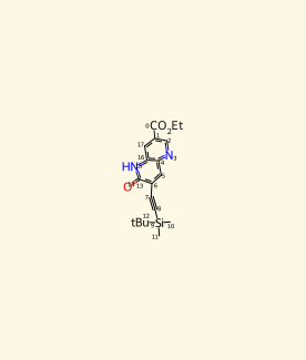 CCOC(=O)c1cnc2cc(C#C[Si](C)(C)C(C)(C)C)c(=O)[nH]c2c1